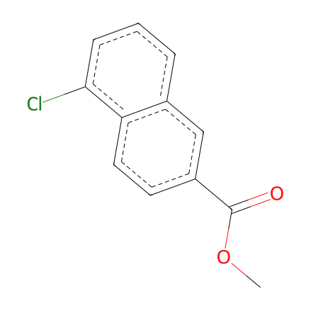 COC(=O)c1ccc2c(Cl)cccc2c1